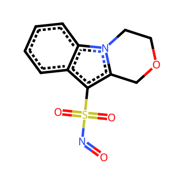 O=NS(=O)(=O)c1c2n(c3ccccc13)CCOC2